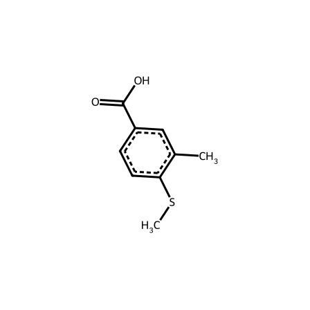 CSc1ccc(C(=O)O)cc1C